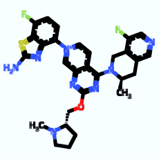 C[C@@H]1Cc2cncc(F)c2CN1c1nc(OC[C@@H]2CCCN2C)nc2c[n+](-c3ccc(F)c4sc(N)nc34)ccc12